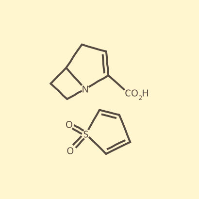 O=C(O)C1=CCC2CCN12.O=S1(=O)C=CC=C1